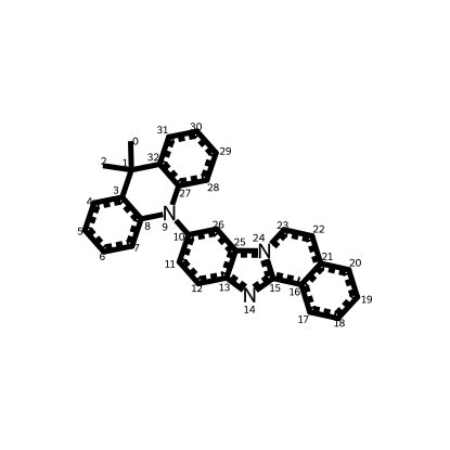 CC1(C)c2ccccc2N(c2ccc3nc4c5ccccc5ccn4c3c2)c2ccccc21